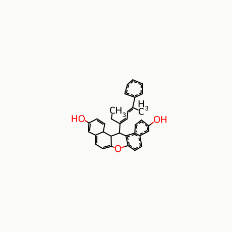 CC/C(=C\C=C(/C)c1ccccc1)C1c2c(ccc3cc(O)ccc23)OC2=CC=C3C=C(O)C=CC3C21